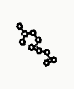 c1ccc(-c2cc(-c3cccc(-c4cccc(-n5c6ccccc6c6ccc(-c7cccc(-n8c9ccccc9c9ccccc98)c7)cc65)c4)c3)cc(-c3ccccc3)n2)cc1